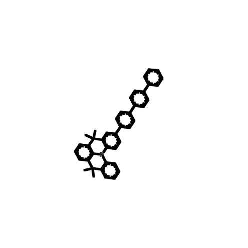 CC1(C)c2ccccc2N2c3ccc(-c4ccc(-c5ccc(-c6ccccc6)cc5)cc4)cc3C(C)(C)c3cccc1c32